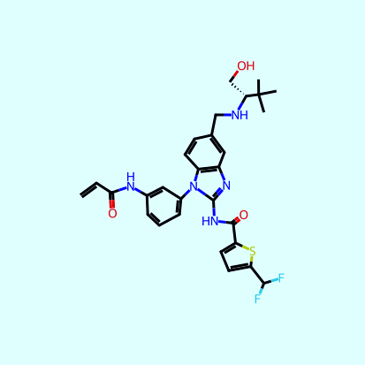 C=CC(=O)Nc1cccc(-n2c(NC(=O)c3ccc(C(F)F)s3)nc3cc(CN[C@H](CO)C(C)(C)C)ccc32)c1